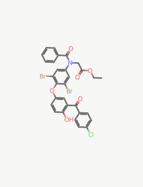 CCOC(=O)CN(C(=O)c1ccccc1)c1cc(Br)c(Oc2ccc(O)c(C(=O)c3ccc(Cl)cc3)c2)c(Br)c1